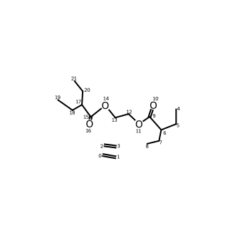 C=C.C=C.CCC(CC)C(=O)OCCOC(=O)C(CC)CC